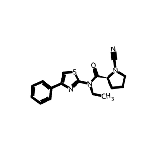 CCN(C(=O)[C@@H]1CCCN1C#N)c1nc(-c2ccccc2)cs1